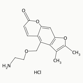 Cc1oc2cc3oc(=O)ccc3c(COCCN)c2c1C.Cl